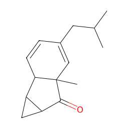 CC(C)CC1=CC2(C)C(=O)C3CC3C2C=C1